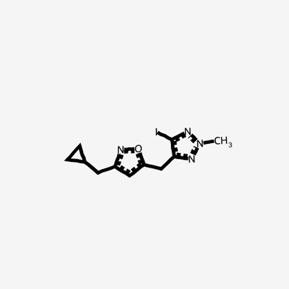 Cn1nc(I)c(Cc2cc(CC3CC3)no2)n1